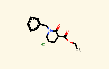 CCOC(=O)C1CCCN(Cc2ccccc2)C1=O.Cl